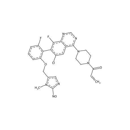 C=CC(=O)N1CCN(c2ncnc3c(F)c(-c4c(F)cccc4OCc4cnc(N=O)n4C)c(Cl)cc23)CC1